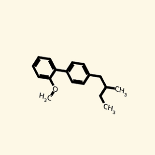 CCC(C)Cc1ccc(-c2ccccc2OC)cc1